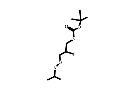 CC(C)NOCC(F)CNC(=O)OC(C)(C)C